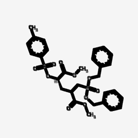 COC(=O)C(C[C@@H](OS(=O)(=O)c1ccc(C)cc1)C(=O)OC)CP(=O)(OCc1ccccc1)OCc1ccccc1